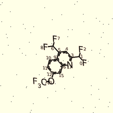 FC(F)c1cc(C(F)F)c2ccc(OC(F)(F)F)cc2n1